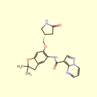 CC1(C)Cc2cc(NC(=O)c3cnn4cccnc34)c(OC[C@@H]3CNC(=O)C3)cc2O1